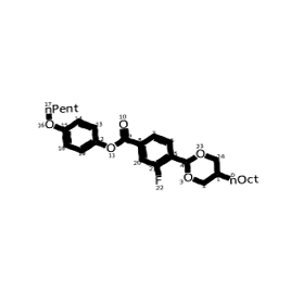 CCCCCCCCC1COC(c2ccc(C(=O)Oc3ccc(OCCCCC)cc3)cc2F)OC1